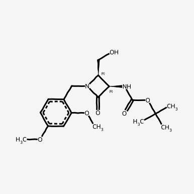 COc1ccc(CN2C(=O)[C@H](NC(=O)OC(C)(C)C)[C@@H]2CO)c(OC)c1